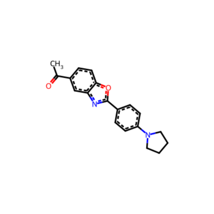 CC(=O)c1ccc2oc(-c3ccc(N4CCCC4)cc3)nc2c1